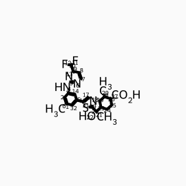 Cc1cc(Nc2nccc(C(F)F)n2)cc(-c2cnc(C(C)(O)C3CCC(C(=O)O)C(C)C3)s2)c1